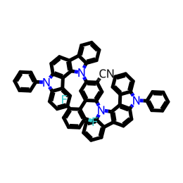 N#Cc1cc(-n2c3ccccc3c3ccc4c(c5ccccc5n4-c4ccccc4)c32)c(-c2c(F)cccc2F)cc1-n1c2ccccc2c2ccc3c(c4ccccc4n3-c3ccccc3)c21